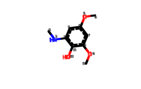 CNc1cc(OC)cc(OC)c1O